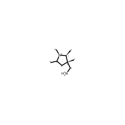 CC1C[C@@](C)(CN)[C@H](C)N1C